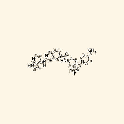 CCN1CCN(Cc2ccc(NC(=O)N3CCc4cnc(Nc5ccnc6[nH]ccc56)nc4C3)cc2C(F)(F)F)CC1